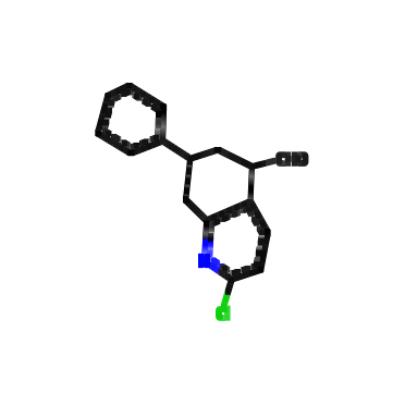 O=CC1CC(c2ccccc2)Cc2nc(Cl)ccc21